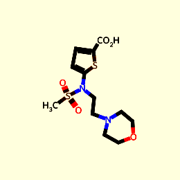 CS(=O)(=O)N(CCN1CCOCC1)c1ccc(C(=O)O)s1